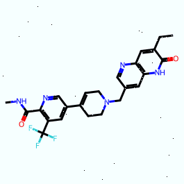 CCc1cc2ncc(CN3CC=C(c4cnc(C(=O)NC)c(C(F)(F)F)c4)CC3)cc2[nH]c1=O